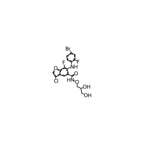 O=C(NOCC(O)CO)c1cc2c(Cl)coc2c(F)c1Nc1ccc(Br)cc1F